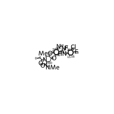 C=CC(=O)N1CCC(Oc2cc3c(Nc4ccc(F)c(Cl)c4F)ncnc3cc2OC)CC1C(=O)NC